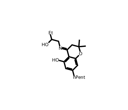 CCCCCc1cc(O)c2c(c1)OC(C)(C)CC2=NCC(O)CC